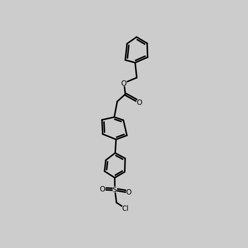 O=C(Cc1ccc(-c2ccc(S(=O)(=O)CCl)cc2)cc1)OCc1ccccc1